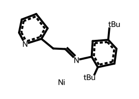 CC(C)(C)c1ccc(C(C)(C)C)c(N=CCc2ccccn2)c1.[Ni]